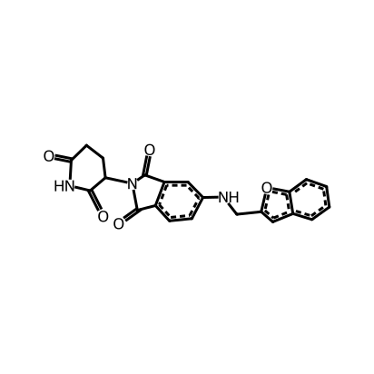 O=C1CCC(N2C(=O)c3ccc(NCc4cc5ccccc5o4)cc3C2=O)C(=O)N1